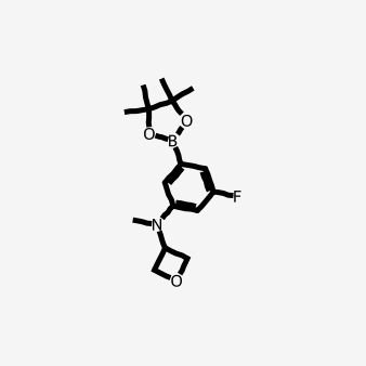 CN(c1cc(F)cc(B2OC(C)(C)C(C)(C)O2)c1)C1COC1